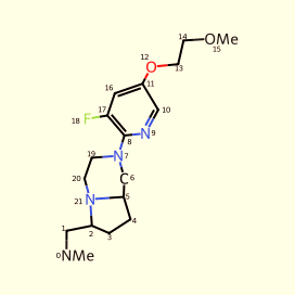 CNCC1CCC2CN(c3ncc(OCCOC)cc3F)CCN12